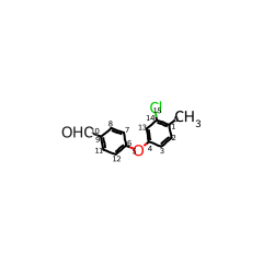 Cc1ccc(Oc2ccc(C=O)cc2)cc1Cl